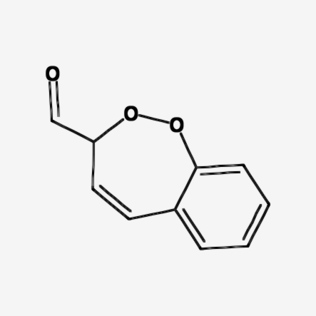 O=CC1C=Cc2ccccc2OO1